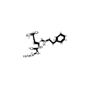 CCCCCCOC(=O)N[C@@H](CNCCc1ccccc1)CC(N)=O